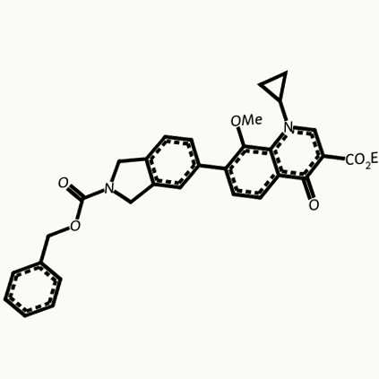 CCOC(=O)c1cn(C2CC2)c2c(OC)c(-c3ccc4c(c3)CN(C(=O)OCc3ccccc3)C4)ccc2c1=O